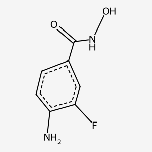 Nc1ccc(C(=O)NO)cc1F